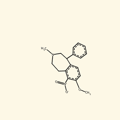 COc1ccc2c(c1[N+](=O)[O-])CCN(C)CC2c1ccccc1